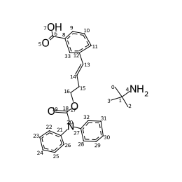 CC(C)(C)N.O=C(O)c1cccc(/C=C/CCOC(=O)N(c2ccccc2)c2ccccc2)c1